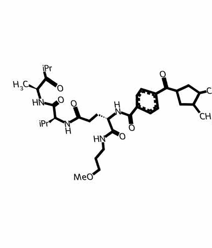 COCCCNC(=O)[C@H](CCC(=O)N[C@H](C(=O)N[C@@H](C)C(=O)C(C)C)C(C)C)NC(=O)c1ccc(C(=O)C2CC(C)C(C)C2)cc1